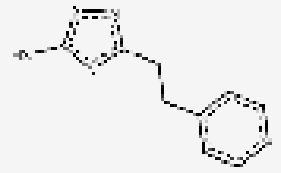 Sc1nc(CCc2ccccc2)ns1